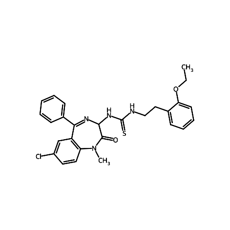 CCOc1ccccc1CCNC(=S)NC1N=C(c2ccccc2)c2cc(Cl)ccc2N(C)C1=O